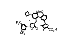 COc1ccc(-c2sc(C(=O)O)c(C)c2C)cc1-c1ccc(N2CCC2)nc1CN1C(=O)O[C@H](c2cc(C(F)(F)F)cc(C(F)(F)F)c2)[C@@H]1C